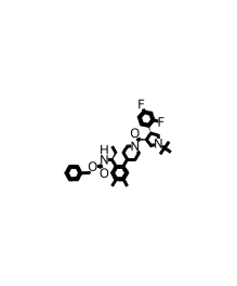 CC[C@H](NC(=O)OCc1ccccc1)c1cc(C)c(C)cc1C1CCN(C(=O)[C@@H]2CN(C(C)(C)C)C[C@H]2c2ccc(F)cc2F)CC1